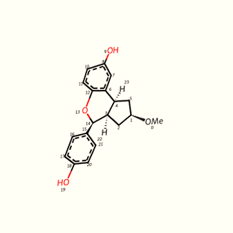 CO[C@H]1C[C@@H]2[C@H](C1)c1cc(O)ccc1O[C@@H]2c1ccc(O)cc1